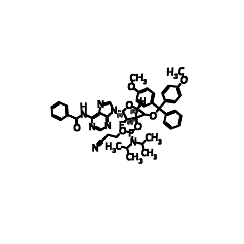 COc1ccc(C(OC2[C@H]3O[C@@H](n4cnc5c(NC(=O)c6ccccc6)ncnc54)[C@H](F)[C@@]23OP(OCCC#N)N(C(C)C)C(C)C)(c2ccccc2)c2ccc(OC)cc2)cc1